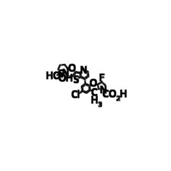 Cc1cc(Cl)cc(-c2ccnc3cc(CN4C(=O)CCCS4(O)O)sc23)c1O[C@@H]1CN(C(=O)O)C[C@@H]1F